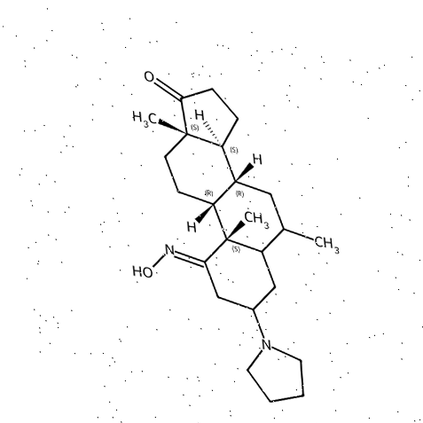 CC1C[C@@H]2[C@@H](CC[C@]3(C)C(=O)CC[C@@H]23)[C@@]2(C)C(=NO)CC(N3CCCC3)CC12